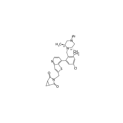 Cc1cc(Cl)cc(-c2ccnc3cc(CN4C(=O)C5CC5C4=O)sc23)c1CN1[C@@H](C)CN(C(C)C)C[C@@H]1C